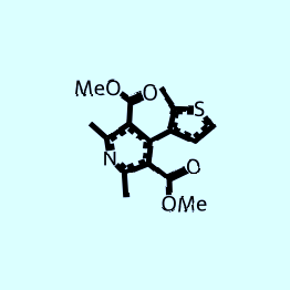 COC(=O)c1c(C)nc(C)c(C(=O)OC)c1-c1ccsc1C